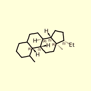 CC[C@H]1CC[C@H]2[C@@H]3CCC4CCCC(C)[C@H]4[C@H]3CC[C@]12C